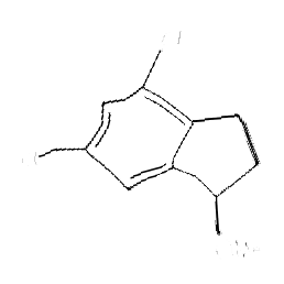 COC1CCc2c(Cl)cc(Cl)cc21